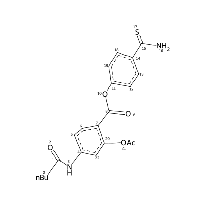 CCCCC(=O)Nc1ccc(C(=O)Oc2ccc(C(N)=S)cc2)c(OC(C)=O)c1